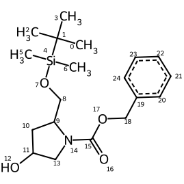 CC(C)(C)[Si](C)(C)OCC1CC(O)CN1C(=O)OCc1ccccc1